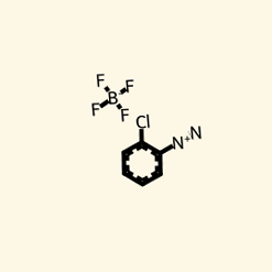 F[B-](F)(F)F.N#[N+]c1ccccc1Cl